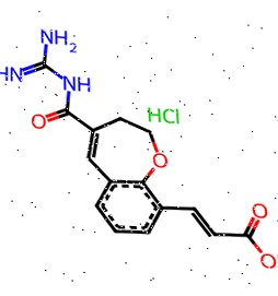 Cl.N=C(N)NC(=O)C1=Cc2cccc(/C=C/C(=O)O)c2OCC1